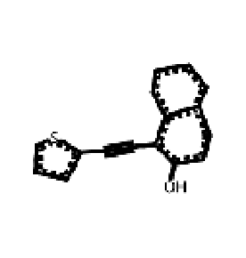 Oc1ccc2ccccc2c1C#Cc1cccs1